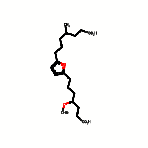 CC(CCCc1ccc(CCCC(CCC(=O)O)OC=O)o1)CCC(=O)O